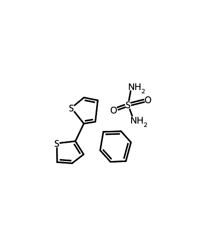 NS(N)(=O)=O.c1ccccc1.c1csc(-c2cccs2)c1